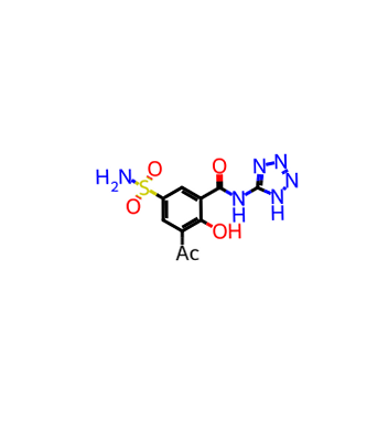 CC(=O)c1cc(S(N)(=O)=O)cc(C(=O)Nc2nnn[nH]2)c1O